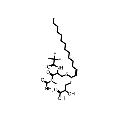 CCCCCCCCCCCC/C=C\[C@H](CCC(O)C(=O)O)SCC(NC(=O)C(F)(F)F)C(=O)N(C)C(N)=O